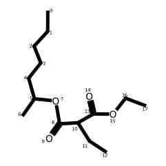 CCCCCC(C)OC(=O)C(CC)C(=O)OCC